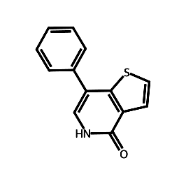 O=c1[nH]cc(-c2ccccc2)c2sccc12